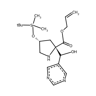 C=CCOC(=O)[C@@]1(C(O)c2cncnc2)C[C@@H](O[Si](C)(C)C(C)(C)C)CN1